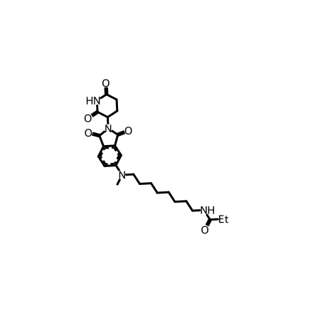 CCC(=O)NCCCCCCCCN(C)c1ccc2c(c1)C(=O)N(C1CCC(=O)NC1=O)C2=O